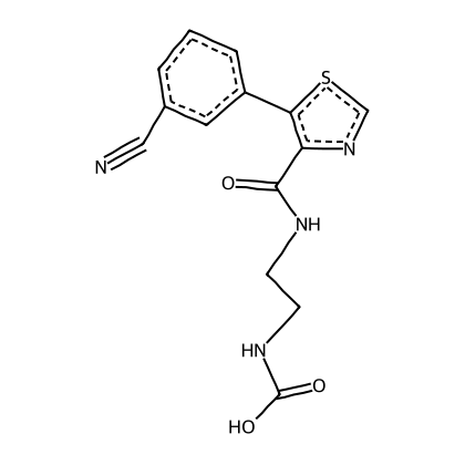 N#Cc1cccc(-c2scnc2C(=O)NCCNC(=O)O)c1